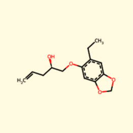 C=CC[C@@H](O)COc1cc2c(cc1CC)OCO2